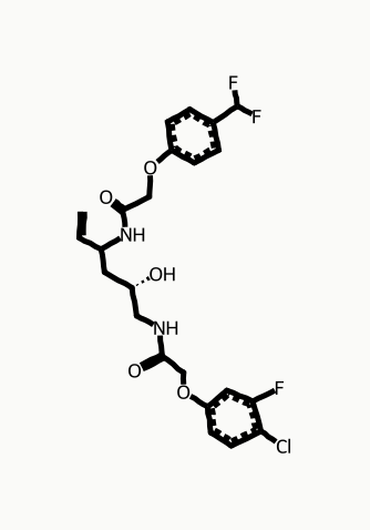 C=CC(C[C@H](O)CNC(=O)COc1ccc(Cl)c(F)c1)NC(=O)COc1ccc(C(F)F)cc1